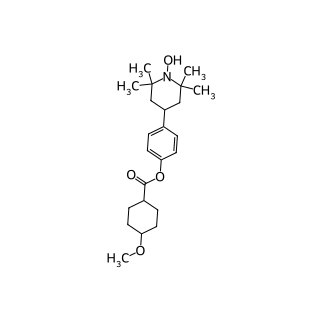 COC1CCC(C(=O)Oc2ccc(C3CC(C)(C)N(O)C(C)(C)C3)cc2)CC1